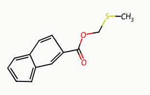 CSCOC(=O)c1ccc2ccccc2c1